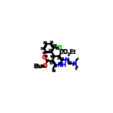 CCOC(=O)C1=C(N=CN(C)C)NC(C)=C(C(=O)OC(C)CC)C1c1ccccc1Cl